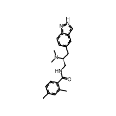 Cc1ccc(C(=O)NC[C@H](Cc2ccc3n[nH]cc3c2)N(C)C)c(C)c1